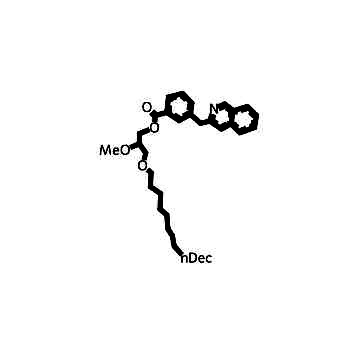 CCCCCCCCCCCCCCCCCCOCC(COC(=O)c1cccc(Cc2cc3ccccc3cn2)c1)OC